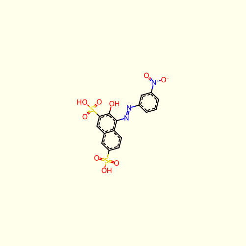 O=[N+]([O-])c1cccc(/N=N/c2c(O)c(S(=O)(=O)O)cc3cc(S(=O)(=O)O)ccc23)c1